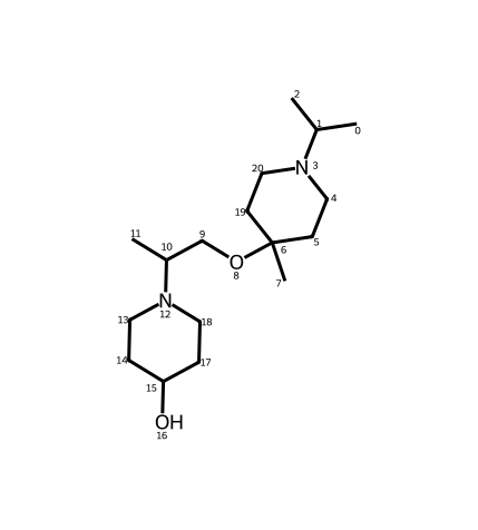 CC(C)N1CCC(C)(OCC(C)N2CCC(O)CC2)CC1